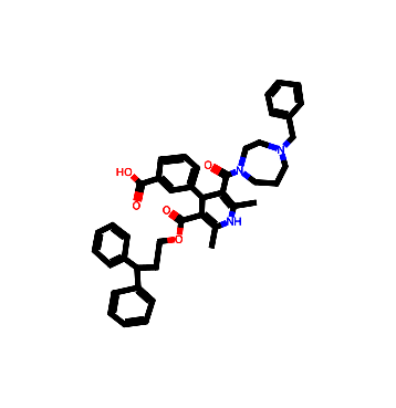 CC1=C(C(=O)OCCC(c2ccccc2)c2ccccc2)C(c2cccc(C(=O)O)c2)C(C(=O)N2CCCN(Cc3ccccc3)CC2)=C(C)N1